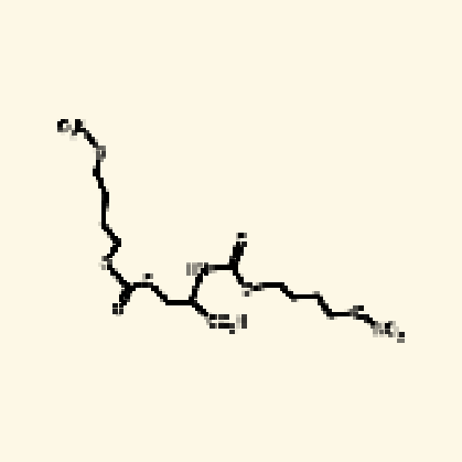 O=C(NC(COC(=O)OCCCCO[N+](=O)[O-])C(=O)O)OCCCCO[N+](=O)[O-]